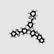 c1ccc2cc3c(cc2c1)sc1cc(N(c2ccc(-c4nc5ccccc5o4)cc2)c2ccc(-c4nc5ccccc5o4)cc2)ccc13